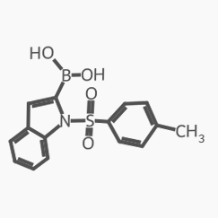 Cc1ccc(S(=O)(=O)n2c(B(O)O)cc3ccccc32)cc1